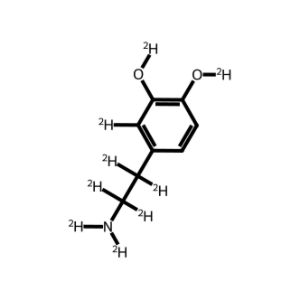 [2H]Oc1ccc(C([2H])([2H])C([2H])([2H])N([2H])[2H])c([2H])c1O[2H]